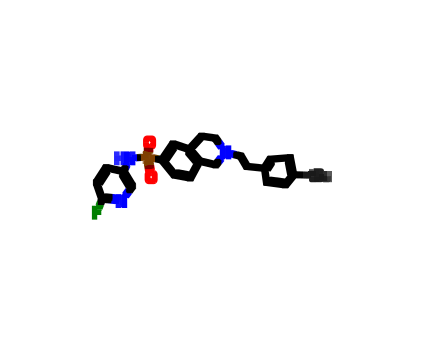 CC(C)(C)c1ccc(CCN2CCc3cc(S(=O)(=O)Nc4ccc(F)nc4)ccc3C2)cc1